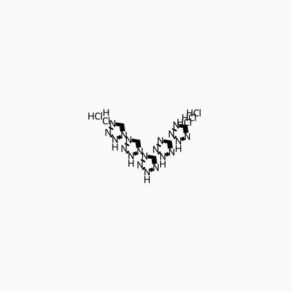 Cl.Cl.Cl.Cl.Cl.c1nn[nH]n1.c1nn[nH]n1.c1nn[nH]n1.c1nn[nH]n1.c1nn[nH]n1